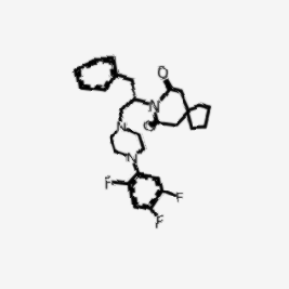 O=C1CC2(CCCC2)CC(=O)N1[C@H](Cc1ccccc1)CN1CCN(c2cc(F)c(F)cc2F)CC1